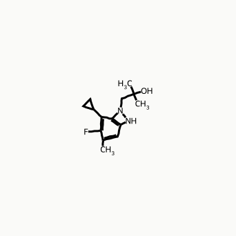 Cc1cc2[nH]n(CC(C)(C)O)c2c(C2CC2)c1F